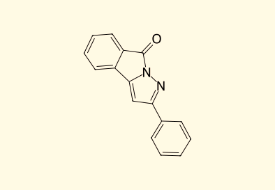 O=C1c2ccccc2-c2cc(-c3ccccc3)nn21